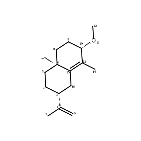 C=C(C)[C@@H]1CC[C@@]2(C)CC[C@H](OC)C(C)=C2C1